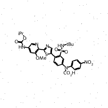 COc1cc(NC(=O)OC(C)C)cnc1-c1ncc(-c2ccc(N(C(=O)O)c3ccc([N+](=O)[O-])cc3)cc2S(=O)(=O)NC(C)(C)C)s1